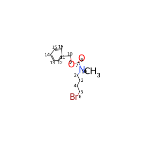 CN(CCCCBr)C(=O)OCc1ccccc1